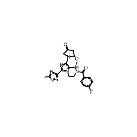 Cc1nsc(-c2nc(N3CC(=O)CC3=O)c3n2CCN(C(=O)c2ccc(F)cc2)[C@@H]3C)n1